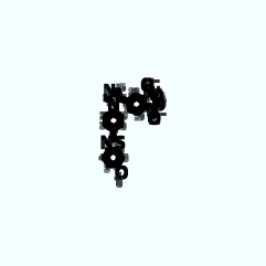 COc1ccc2nc(-c3ccc(-n4cncc4-c4ccc([N+](=O)[O-])c([N+](=O)[O-])c4)cc3)sc2c1